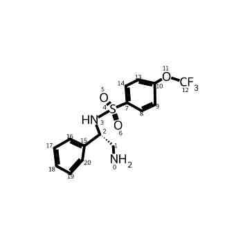 NC[C@@H](NS(=O)(=O)c1ccc(OC(F)(F)F)cc1)c1ccccc1